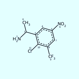 CC(N)c1cc([N+](=O)[O-])cc(C(F)(F)F)c1Cl